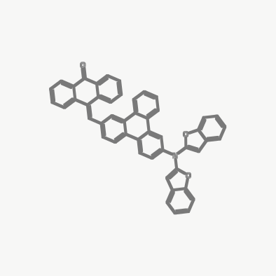 O=C1c2ccccc2C(=Cc2ccc3c4ccc(N(c5cc6ccccc6o5)c5cc6ccccc6o5)cc4c4ccccc4c3c2)c2ccccc21